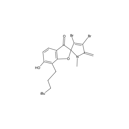 C=C1C(Br)=C(Br)C2(Oc3c(ccc(O)c3CCCC(C)CC)C2=O)N1C